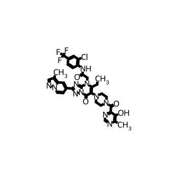 CCc1c(N2CCN(C(=O)c3ncnc(C)c3O)CC2)c(=O)n2nc(-c3ccn4ncc(C)c4c3)nc2n1CC(=O)Nc1ccc(C(F)(F)F)cc1Cl